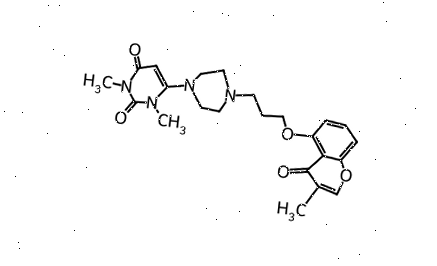 Cc1coc2cccc(OCCCN3CCN(c4cc(=O)n(C)c(=O)n4C)CC3)c2c1=O